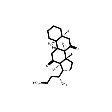 C[C@H](CCC(=O)O)[C@H]1CC[C@H]2[C@@H]3C(=O)C[C@@H]4CCCC[C@]4(C)[C@H]3CC(=O)[C@]12C